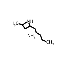 CCCCCC1CC(C)N1.N